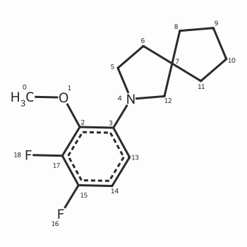 COc1c(N2CCC3(CCCC3)C2)ccc(F)c1F